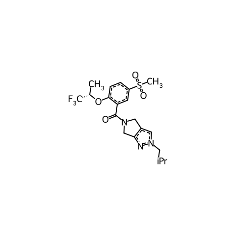 CC(C)Cn1cc2c(n1)CN(C(=O)c1cc(S(C)(=O)=O)ccc1O[C@@H](C)C(F)(F)F)C2